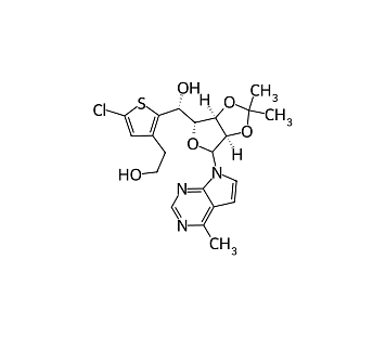 Cc1ncnc2c1ccn2C1O[C@H]([C@@H](O)c2sc(Cl)cc2CCO)[C@H]2OC(C)(C)O[C@@H]12